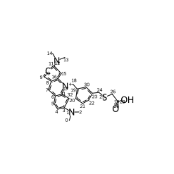 CN(C)c1ccc2cc3ccc(N(C)C)cc3[n+](Cc3cccc(CSCC(=O)O)c3)c2c1